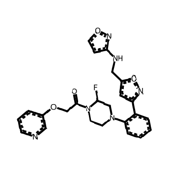 O=C(COc1cccnc1)N1CCN(c2ccccc2-c2cc(CNc3ccon3)on2)CC1F